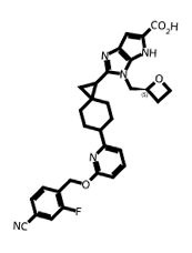 N#Cc1ccc(COc2cccc(C3CCC4(CC3)CC4c3nc4cc(C(=O)O)[nH]c4n3C[C@@H]3CCO3)n2)c(F)c1